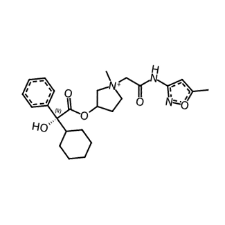 Cc1cc(NC(=O)C[N+]2(C)CCC(OC(=O)[C@](O)(c3ccccc3)C3CCCCC3)C2)no1